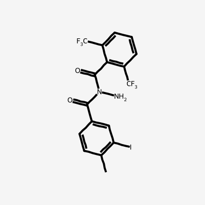 Cc1ccc(C(=O)N(N)C(=O)c2c(C(F)(F)F)cccc2C(F)(F)F)cc1I